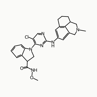 CONC(=O)C1CN(c2nc(Nc3cc4c5c(c3)CN(C)CC5CCC4)ncc2Cl)c2ccccc21